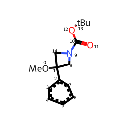 COC1(c2ccccc2)CN(C(=O)OC(C)(C)C)C1